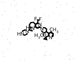 COC1(c2nccc(C)c2C2CCN(c3cc4c(c(C(F)F)n3)CCC[C@H]3[C@H](N5CCNCC5)CN43)CC2)CC1